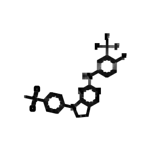 CS(=O)(=O)c1ccc(N2CCc3cnc(Nc4ccc(F)c(C(F)(F)F)c4)nc32)cc1